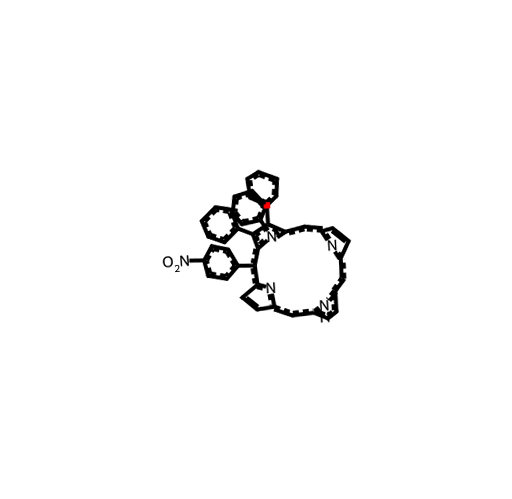 O=[N+]([O-])c1ccc(-c2c3nc(cc4ccc(cc5nc(cc6c(-c7ccccc7)c(-c7ccccc7)c2n6-c2ccccc2)C=C5)[nH]4)C=C3)cc1